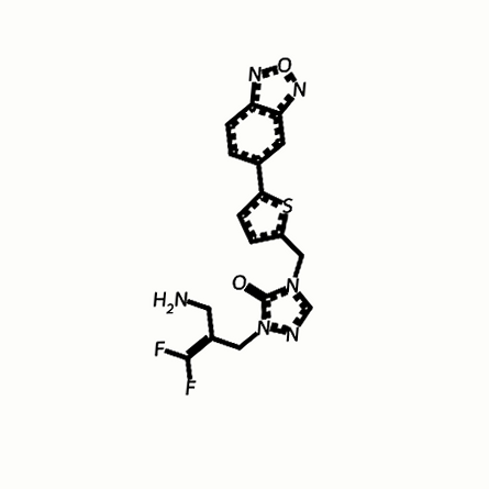 NCC(Cn1ncn(Cc2ccc(-c3ccc4nonc4c3)s2)c1=O)=C(F)F